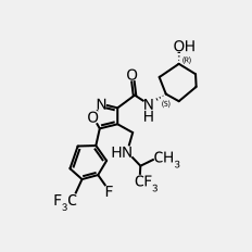 CC(NCc1c(C(=O)N[C@H]2CCC[C@@H](O)C2)noc1-c1ccc(C(F)(F)F)c(F)c1)C(F)(F)F